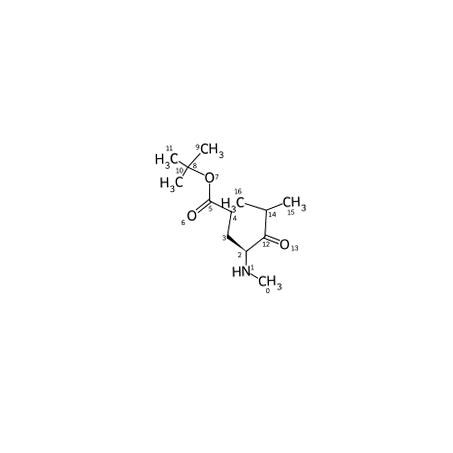 CN[C@@H](CCC(=O)OC(C)(C)C)C(=O)C(C)C